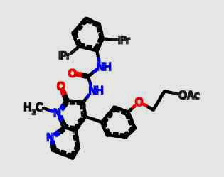 CC(=O)OCCOc1cccc(-c2c(NC(=O)Nc3c(C(C)C)cccc3C(C)C)c(=O)n(C)c3ncccc23)c1